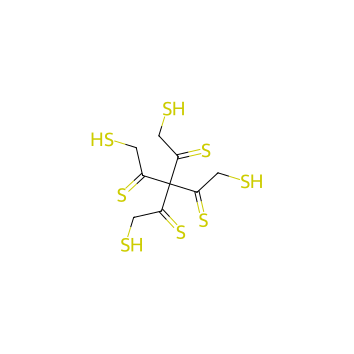 S=C(CS)C(C(=S)CS)(C(=S)CS)C(=S)CS